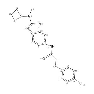 CN(c1nc2ccc(NC(=O)CCc3ccc(C(F)(F)F)cc3)cc2[nH]1)C1CCC1